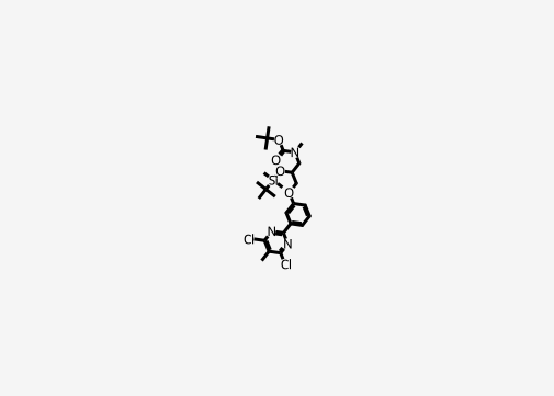 Cc1c(Cl)nc(-c2cccc(OCC(CN(C)C(=O)OC(C)(C)C)O[Si](C)(C)C(C)(C)C)c2)nc1Cl